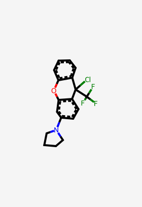 FC(F)(F)C1(Cl)c2ccccc2Oc2cc(N3CCCC3)ccc21